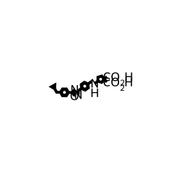 O=C(O)C1(C(=O)O)CCC(NCc2ccc(-c3noc(-c4ccc(CC5CC5)cc4)n3)cc2)C1